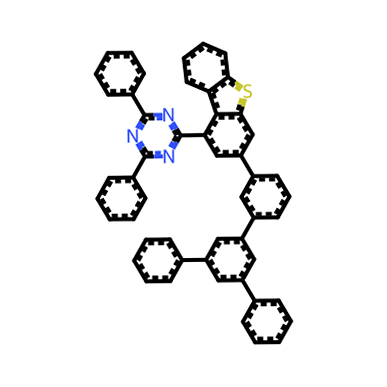 c1ccc(-c2cc(-c3ccccc3)cc(-c3cccc(-c4cc(-c5nc(-c6ccccc6)nc(-c6ccccc6)n5)c5c(c4)sc4ccccc45)c3)c2)cc1